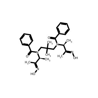 C/C(=N\O)[C@H](C)N(CC(C)(C)CN(C(=O)c1ccccc1)[C@@H](C)/C(C)=N/O)C(=O)c1ccccc1